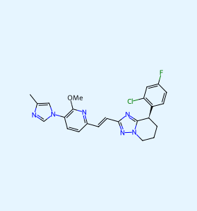 COc1nc(/C=C/c2nc3n(n2)CCC[C@@H]3c2ccc(F)cc2Cl)ccc1-n1cnc(C)c1